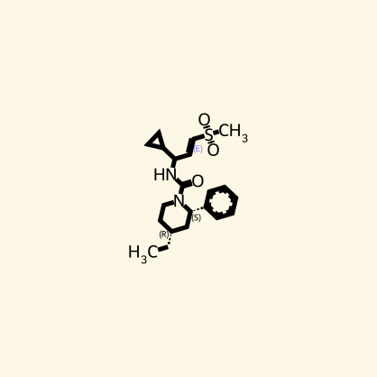 CC[C@@H]1CCN(C(=O)NC(/C=C/S(C)(=O)=O)C2CC2)[C@H](c2ccccc2)C1